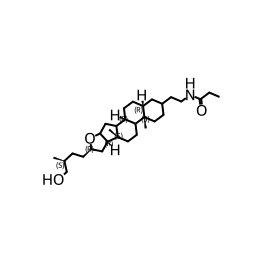 CCC(=O)NCCC1CC[C@]2(C)C3CC[C@@]4(C)C(CC5O[C@H](CC[C@H](C)CO)C[C@@H]54)[C@@H]3CC[C@@H]2C1